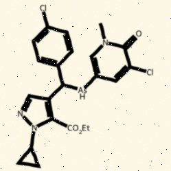 CCOC(=O)c1c(C([AsH]c2cc(Cl)c(=O)n(C)c2)c2ccc(Cl)cc2)cnn1C1CC1